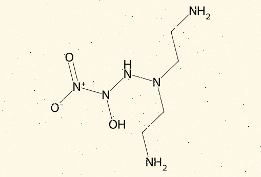 NCCN(CCN)NN(O)[N+](=O)[O-]